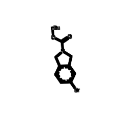 CCCCOC(=O)N1Cc2ccc(Br)cc2C1